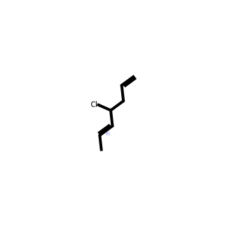 C=CCC(Cl)/C=C/C